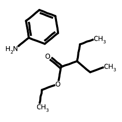 CCOC(=O)C(CC)CC.Nc1ccccc1